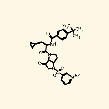 CC(C)(C)c1ccc(C(=O)NC(CC2CC2)C(=O)N2CCC3C2C(=O)CN3S(=O)(=O)c2ccc[n+]([O-])c2)cc1